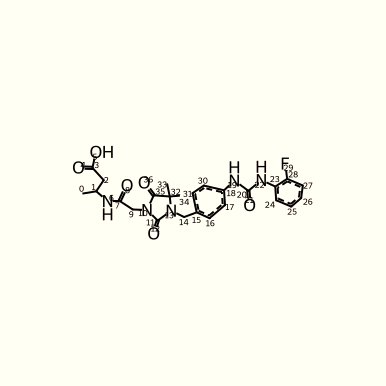 CC(CC(=O)O)NC(=O)CN1C(=O)N(Cc2ccc(NC(=O)Nc3ccccc3F)cc2)C(C)(C)C1=O